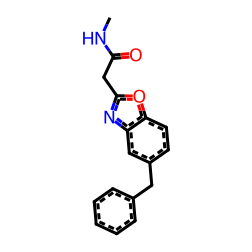 CNC(=O)Cc1nc2cc(Cc3ccccc3)ccc2o1